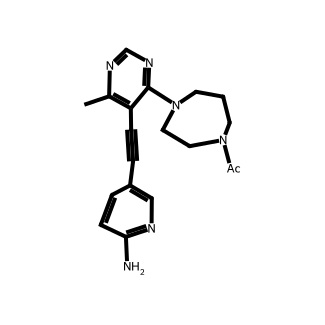 CC(=O)N1CCCN(c2ncnc(C)c2C#Cc2ccc(N)nc2)CC1